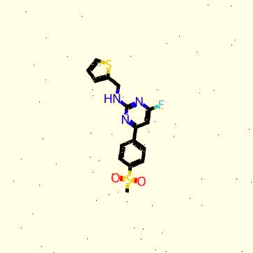 CS(=O)(=O)c1ccc(-c2cc(F)nc(NCc3cccs3)n2)cc1